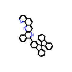 c1ccc2c(c1)-c1ccccc1C21c2ccccc2-c2ccc(-c3nc4cc5ccc6cccnc6c5nc4c4ccccc34)cc21